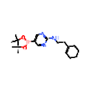 CC1(C)OB(c2cnc(NCCC3=CCCCC3)nc2)OC1(C)C